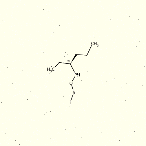 CCC[C@H](CC)POSI